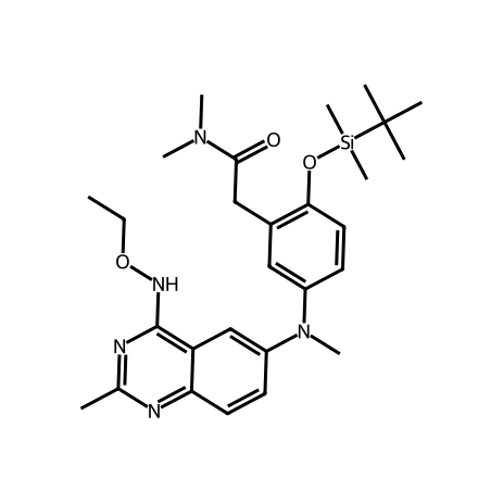 CCONc1nc(C)nc2ccc(N(C)c3ccc(O[Si](C)(C)C(C)(C)C)c(CC(=O)N(C)C)c3)cc12